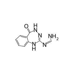 N/C=N\C1=NNC(=O)c2ccccc2N1